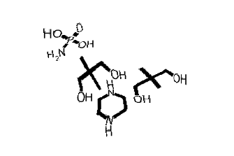 C1CNCCN1.CC(C)(CO)CO.CC(C)(CO)CO.NP(=O)(O)O